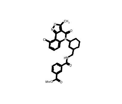 COC(=O)c1cccc(C(=O)NCC2CCCC(n3c(=O)c4c(C)onc4c4c(Cl)cccc43)C2)c1